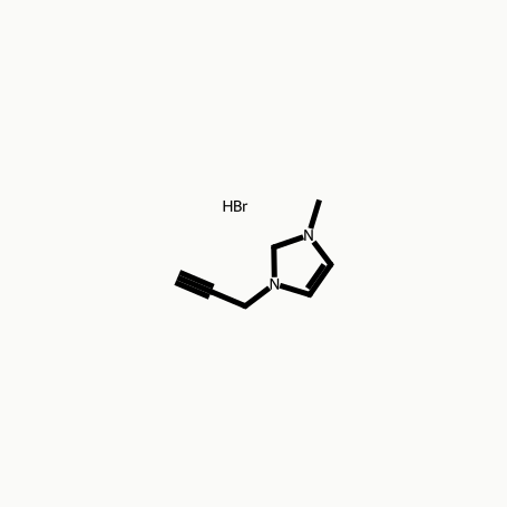 Br.C#CCN1C=CN(C)C1